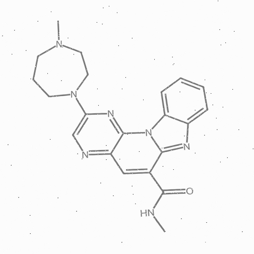 CNC(=O)c1cc2ncc(N3CCCN(C)CC3)nc2n2c1nc1ccccc12